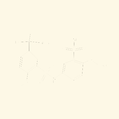 CCCCCCCCOc1ccc(NS(=O)(=O)c2cc(C(C)(C)CCCCC)ccc2OCCCCCCCC)cc1S([NH])(=O)=O